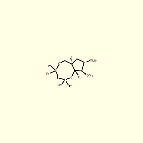 CO[C@H]1O[C@@H]2CO[Si](C(C)C)(C(C)C)O[Si](C(C)C)(C(C)C)O[C@H]2[C@@H]1OC